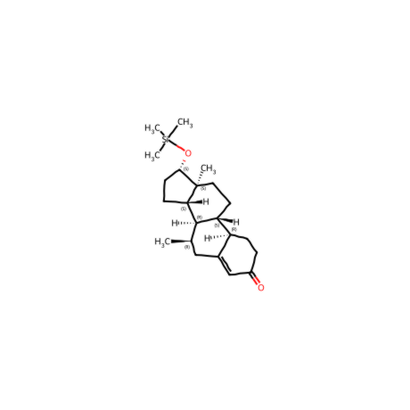 C[C@@H]1CC2=CC(=O)CC[C@@H]2[C@H]2CC[C@]3(C)[C@@H](O[Si](C)(C)C)CC[C@H]3[C@@H]21